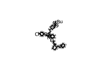 CC(C)(C)OC(=O)N1CCC(CCCn2c(COc3ccc(Cl)cc3)nc3c(OCCCN4CCCCC4CCN4CCCCC4)cccc32)CC1